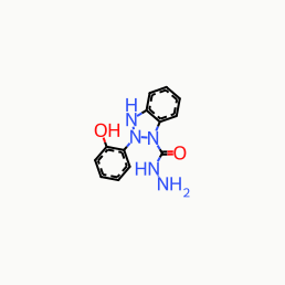 NNC(=O)N1c2ccccc2NN1c1ccccc1O